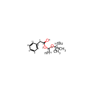 CCCC(OC(=O)Cc1ccccc1)O[Si](C)(C)C(C)(C)C